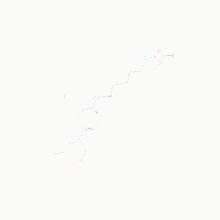 CC1=C(N2CC(C)OC(C)C2)CC(C)C(NC(=O)CCCCNS(=O)(=O)C(C)C)=C1